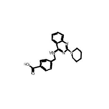 O=C(O)c1ccc(CNc2nc(N3CCCCC3)nc3ccccc23)cc1